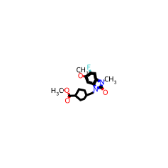 COC(=O)C1CCC(Cn2c(=O)n(C)c3cc(F)c(OC)cc32)CC1